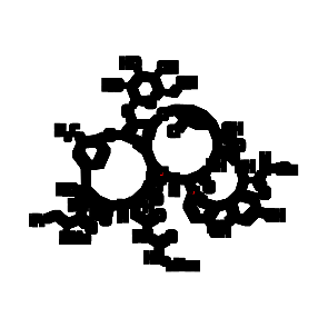 CCCCCCNC(=O)NC(=O)C[C@@H]1NC(=O)[C@H](NC(=O)[C@@H](CC(C)C)NC)[C@H](O)c2ccc(c(C)c2)Oc2cc3cc(c2O[C@@H]2O[C@H](CO)[C@@H](O)[C@H](O)[C@H]2O)Oc2ccc(cc2Cl)[C@@H](O)[C@@H]2NC(=O)[C@H](NC(=O)[C@@H]3NC1=O)c1ccc(O)c(c1)-c1c(O)cc(O)cc1[C@@H](C(=O)NC(C)(C)C)NC2=O